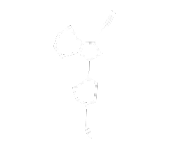 N#Cc1ccc(-c2nc(C#N)c3ccccn23)cc1